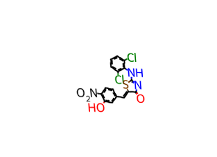 O=C1N=C(Nc2c(Cl)cccc2Cl)S/C1=C\c1ccc([N+](=O)[O-])c(O)c1